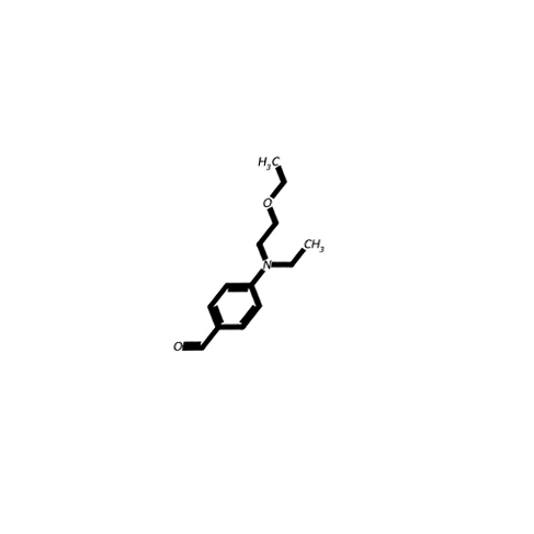 CCOCCN(CC)c1ccc(C=O)cc1